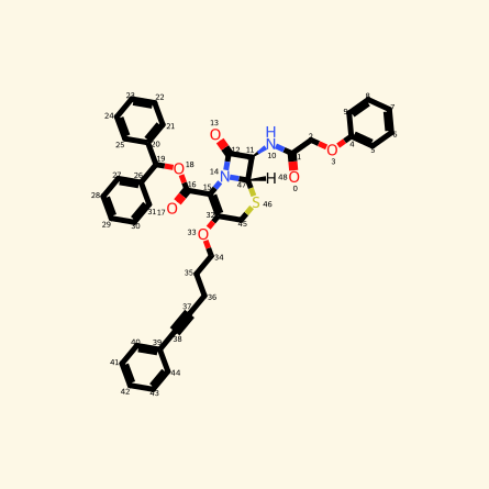 O=C(COc1ccccc1)N[C@@H]1C(=O)N2C(C(=O)OC(c3ccccc3)c3ccccc3)=C(OCCCC#Cc3ccccc3)CS[C@@H]12